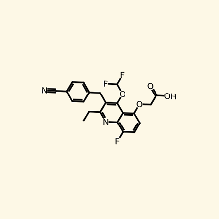 CCc1nc2c(F)ccc(OCC(=O)O)c2c(OC(F)F)c1Cc1ccc(C#N)cc1